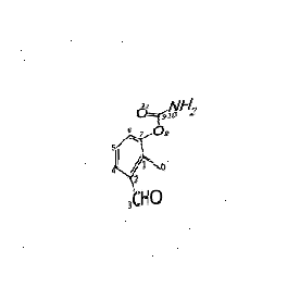 Cc1c(C=O)cccc1OC(N)=O